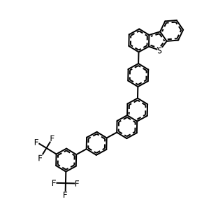 FC(F)(F)c1cc(-c2ccc(-c3ccc4ccc(-c5ccc(-c6cccc7c6sc6ccccc67)cc5)cc4c3)cc2)cc(C(F)(F)F)c1